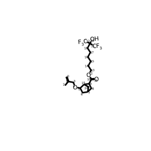 C=C(C)COC1CC2CC(C(=O)OCCCCCCC(O)(C(F)(F)F)C(F)(F)F)C1C2